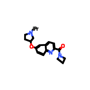 CC(C)N1CCC(Oc2ccc3nc(C(=O)N4CCC4)ccc3c2)C1